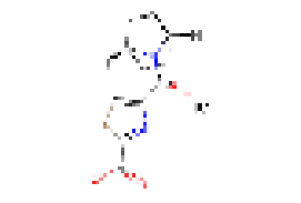 O=C([O-])c1nc(C(=O)N2[C@H]3CC[C@@H]2CC3)cs1.[K+]